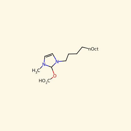 CCCCCCCCCCCCN1C=CN(C)C1OC(=O)O